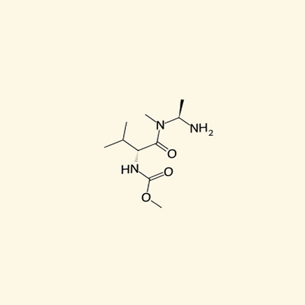 COC(=O)N[C@@H](C(=O)N(C)[C@@H](C)N)C(C)C